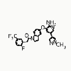 Cn1cc(-c2cnc(N)c(Oc3ccc4c(c3)CCN4C(=O)Cc3cc(C(F)(F)F)ccc3F)c2)cn1